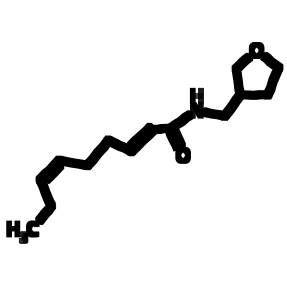 CC/C=C\CC/C=C/C(=O)NCC1CCOC1